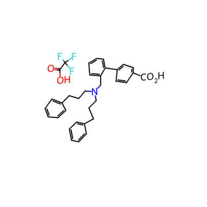 O=C(O)C(F)(F)F.O=C(O)c1ccc(-c2ccccc2CN(CCCc2ccccc2)CCCc2ccccc2)cc1